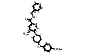 COc1ccc(OC2CCN(c3nnc(C(=O)NCc4ccncc4)cc3C)CC2)cn1